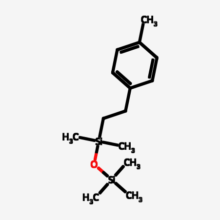 Cc1ccc(CC[Si](C)(C)O[Si](C)(C)C)cc1